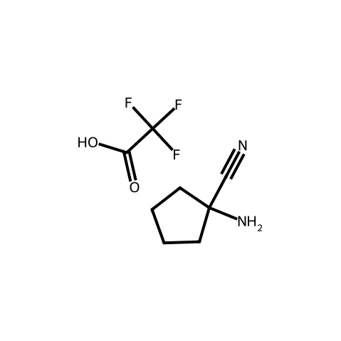 N#CC1(N)CCCC1.O=C(O)C(F)(F)F